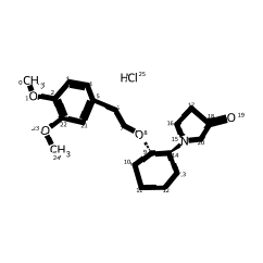 COc1ccc(CCO[C@H]2CCCC[C@@H]2N2CCC(=O)C2)cc1OC.Cl